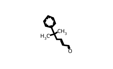 CC(C)(CC=CC=O)c1ccccc1